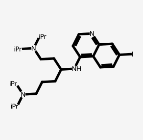 CC(C)N(CCCC(CCN(C(C)C)C(C)C)Nc1ccnc2cc(I)ccc12)C(C)C